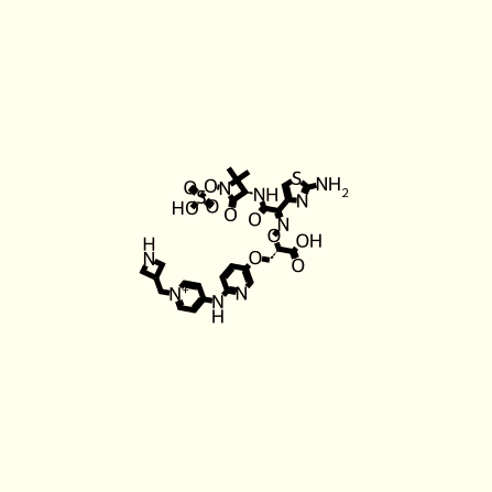 CC1(C)[C@H](NC(=O)/C(=N\O[C@@H](COc2ccc(Nc3cc[n+](CC4CNC4)cc3)nc2)C(=O)O)c2csc(N)n2)C(=O)N1OS(=O)(=O)O